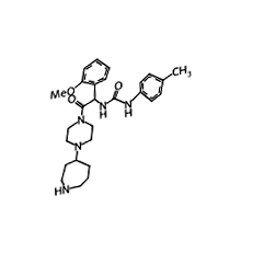 COc1ccccc1C(NC(=O)Nc1ccc(C)cc1)C(=O)N1CCN(C2CCCNCC2)CC1